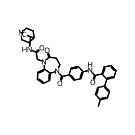 Cc1ccc(-c2ccccc2C(=O)Nc2ccc(C(=O)N3CCC(=O)N(CC(=O)NC4CN5CCC4CC5)c4ccccc43)cc2)cc1